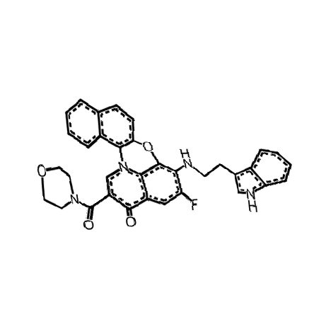 O=C(c1cn2c3c(c(NCCc4c[nH]c5ccccc45)c(F)cc3c1=O)Oc1ccc3ccccc3c1-2)N1CCOCC1